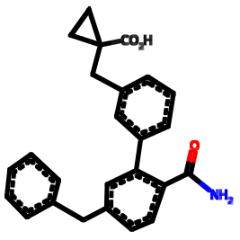 NC(=O)c1ccc(Cc2ccccc2)cc1-c1cccc(CC2(C(=O)O)CC2)c1